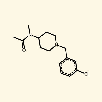 CC(=O)N(C)C1CCN(Cc2cccc(Cl)c2)CC1